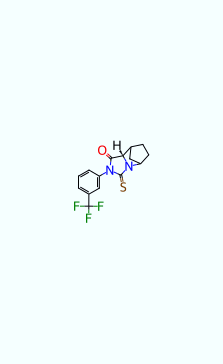 O=C1[C@@H]2C3CCC(C3)N2C(=S)N1c1cccc(C(F)(F)F)c1